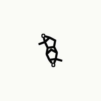 CC12OC1C1CC2C2CC3OC3(C)C21